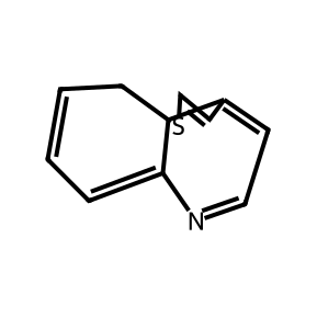 C1=CCC23SC=CC2=CC=NC3=C1